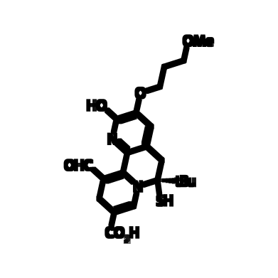 COCCCOc1cc2c(nc1O)C1=C(C=O)CC(C(=O)O)=CN1[C@@](S)(C(C)(C)C)C2